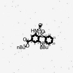 CCCCNc1cc(C(=O)OCCCC)cc(N[SH](=O)=O)c1Sc1ccccc1